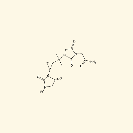 CC(C)N1CC(=O)N(C2CC2C(C)(C)N2CC(=O)N(CC(N)=O)C2=O)C1=O